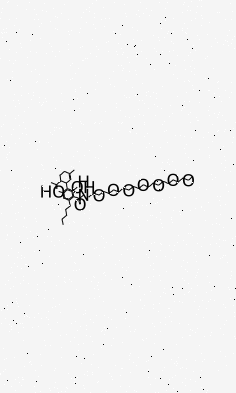 C=C(C)C1CCC(C)=CC1c1c(O)cc(CCCCC)c(C(=O)NCCOCCOCCOCCOCCOCCOCCOC)c1O